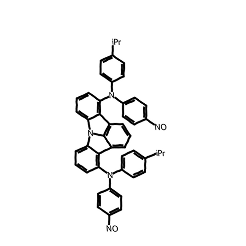 CC(C)c1ccc(N(c2ccc(N=O)cc2)c2cccc3c2c2cccc4c5c(N(c6ccc(N=O)cc6)c6ccc(C(C)C)cc6)cccc5n3c24)cc1